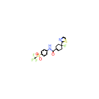 O=C(Nc1ccc(S(=O)(=O)C(F)(F)F)cc1)C1=CCC(F)(c2nccs2)CC1